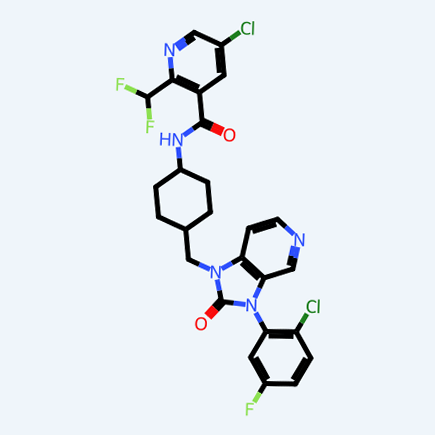 O=C(NC1CCC(Cn2c(=O)n(-c3cc(F)ccc3Cl)c3cnccc32)CC1)c1cc(Cl)cnc1C(F)F